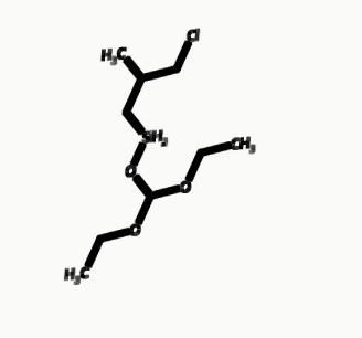 CCOC(OCC)O[SiH2]CC(C)CCl